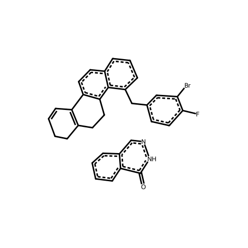 Fc1ccc(Cc2cccc3ccc4c(c23)CCC2=C4C=CCC2)cc1Br.O=c1[nH]ncc2ccccc12